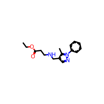 CCOC(=O)CCNCc1cnn(-c2ccccc2)c1C